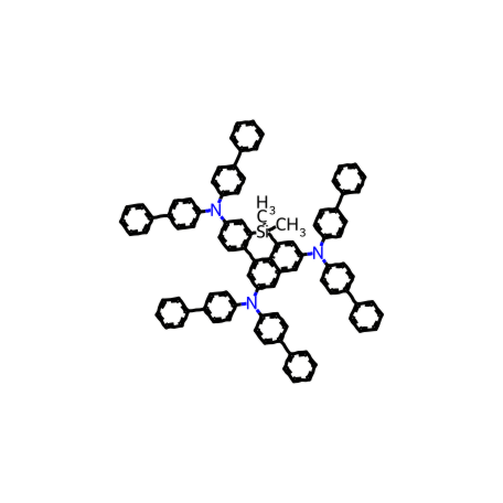 C[Si]1(C)c2cc(N(c3ccc(-c4ccccc4)cc3)c3ccc(-c4ccccc4)cc3)ccc2-c2cc(N(c3ccc(-c4ccccc4)cc3)c3ccc(-c4ccccc4)cc3)cc3cc(N(c4ccc(-c5ccccc5)cc4)c4ccc(-c5ccccc5)cc4)cc1c23